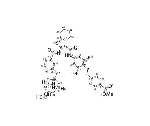 COC(=O)c1ccc(CCc2c(F)cc(NC(=O)c3c(NC(=O)c4cccc(CN5C[C@H]6CC[C@@H](C5)N6)c4)sc4c3CCCC4)cc2F)cc1.Cl.Cl